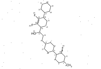 CC1CCC(C2CCC(CCC(O)C3CCC(C4CCCCC4)C(F)=C3F)CC2)[C@@H](F)C1